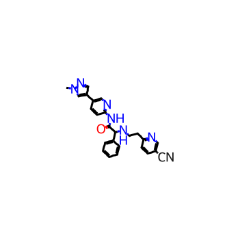 Cn1cc(-c2ccc(NC(=O)C(NCCc3ccc(C#N)cn3)c3ccccc3)nc2)cn1